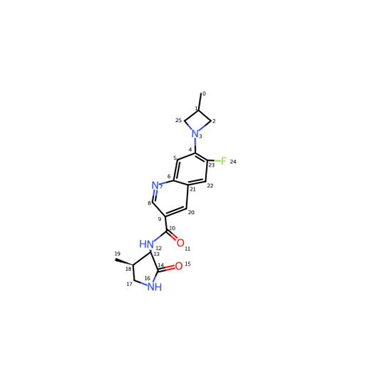 CC1CN(c2cc3ncc(C(=O)N[C@@H]4C(=O)NC[C@H]4C)cc3cc2F)C1